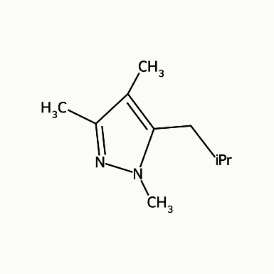 Cc1nn(C)c(CC(C)C)c1C